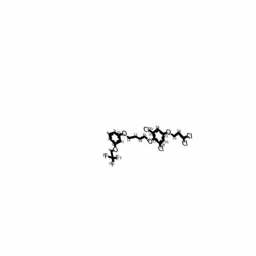 FC(F)(F)COc1cccc(OCCCCOc2c(Cl)cc(OCC=C(Cl)Cl)cc2Cl)c1